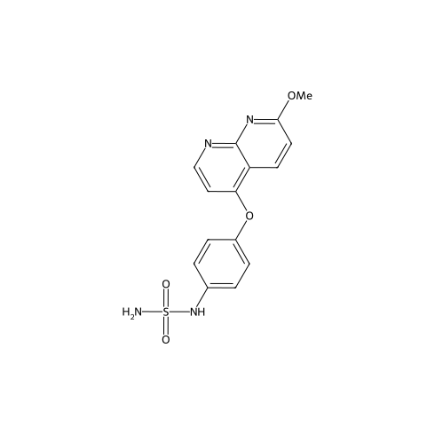 COc1ccc2c(Oc3ccc(NS(N)(=O)=O)cc3)ccnc2n1